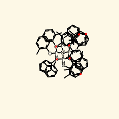 Cc1ccccc1O[PH](Oc1ccccc1C)(Oc1ccccc1C)[Ni]([PH](Oc1ccccc1C)(Oc1ccccc1C)Oc1ccccc1C)([PH](Oc1ccccc1C)(Oc1ccccc1C)Oc1ccccc1C)[PH](Oc1ccccc1C)(Oc1ccccc1C)Oc1ccccc1C